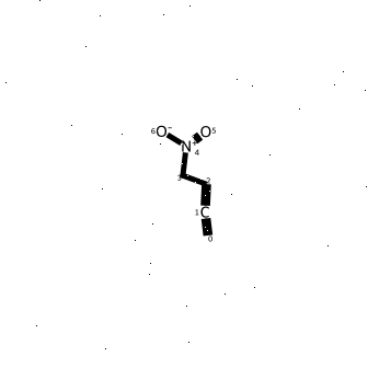 C=C=CC[N+](=O)[O-]